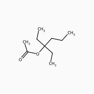 CCCC(CC)(CC)OC(C)=O